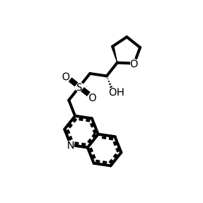 O=S(=O)(Cc1cnc2ccccc2c1)C[C@@H](O)[C@H]1CCCO1